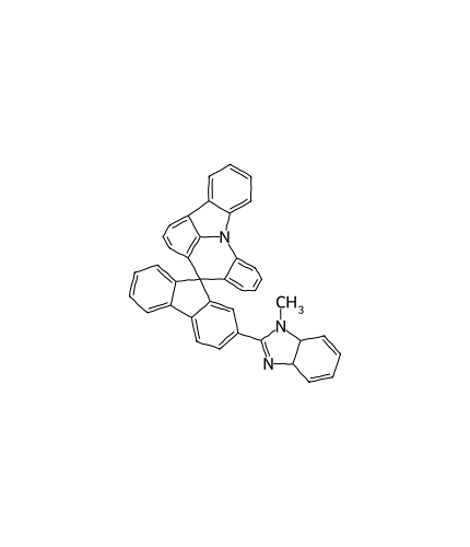 CN1C(c2ccc3c(c2)C2(c4ccccc4-3)c3ccccc3-n3c4ccccc4c4cccc2c43)=NC2C=CC=CC21